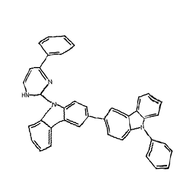 C1=CC(c2ccccc2)=NC(n2c3ccccc3c3cc(-c4ccc5c(c4)c4ccccc4n5-c4ccccc4)ccc32)N1